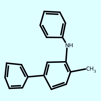 Cc1ccc(-c2ccccc2)cc1Nc1ccccc1